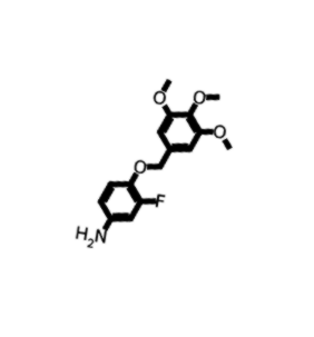 COc1cc(COc2ccc(N)cc2F)cc(OC)c1OC